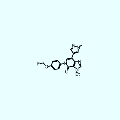 CCn1cnc2c(-c3cnn(C)c3)cn(-c3ccc(OCF)cc3)c(=O)c21